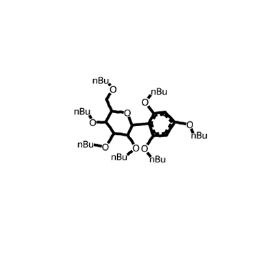 CCCCOCC1OC(c2c(OCCCC)cc(OCCCC)cc2OCCCC)C(OCCCC)C(OCCCC)C1OCCCC